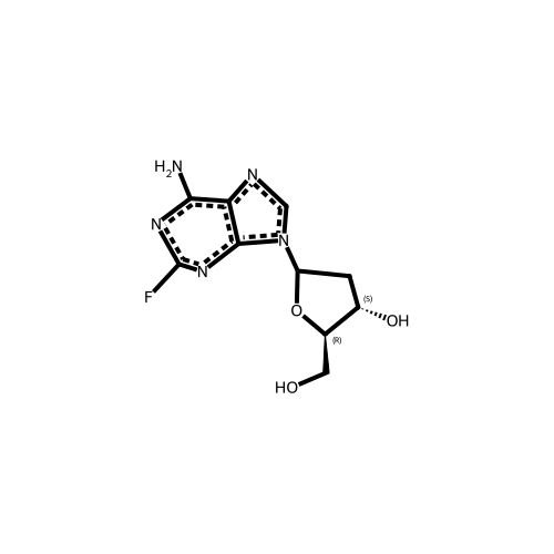 Nc1nc(F)nc2c1ncn2C1C[C@H](O)[C@@H](CO)O1